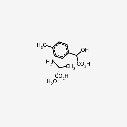 C[C@@H](N)C(=O)O.Cc1ccc(C(O)C(=O)O)cc1.O